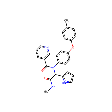 Cc1ccc(Oc2ccc(N(C(=O)c3cccnc3)C(C(=O)NC(C)(C)C)c3ccc[nH]3)cc2)cc1